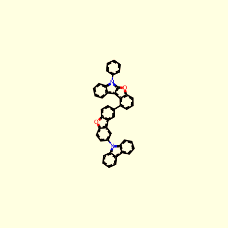 c1ccc(-n2c3ccccc3c3c4c(-c5ccc6oc7ccc(-n8c9ccccc9c9ccccc98)cc7c6c5)cccc4oc32)cc1